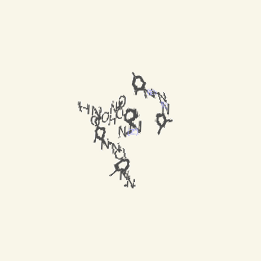 CNC(=O)Oc1ccc(N=CN(C)C)c(C)c1.CNC(=O)Oc1cccc(/N=C\N(C)C)c1.Cc1cc(Cl)ccc1N=CN(C)C.Cc1ccc(/N=C/N(C)/C=N/c2ccc(C)cc2C)c(C)c1